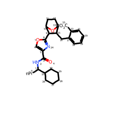 CCCC(NC(=O)c1coc(C2C3CCC(O3)C2Cc2ccccc2C(=O)O)n1)C1CCCCC1